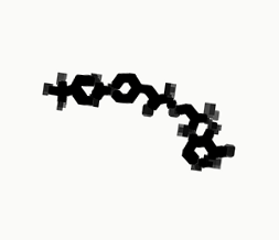 CC(CONC(=O)CC1CCN(c2ncc(C(F)(F)F)cn2)CC1)Nc1cn[nH]c(=O)c1Br